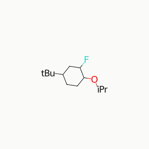 CC(C)OC1CCC(C(C)(C)C)CC1F